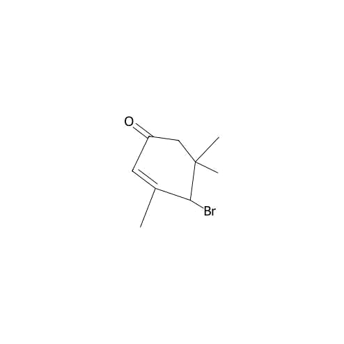 CC1=CC(=O)CC(C)(C)C1Br